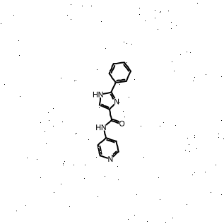 O=C(Nc1ccncc1)c1c[nH]c(-c2cc[c]cc2)n1